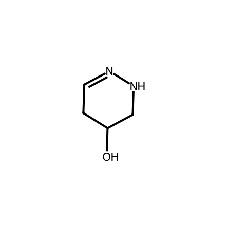 OC1CC=NNC1